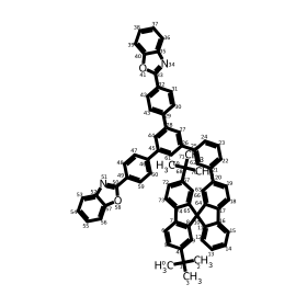 CC(C)(C)c1ccc2c(c1)C1(c3ccccc3-c3ccc(-c4cccc(-c5cc(-c6ccc(-c7nc8ccccc8o7)cc6)cc(-c6ccc(-c7nc8ccccc8o7)cc6)c5)c4)cc31)c1cc(C(C)(C)C)ccc1-2